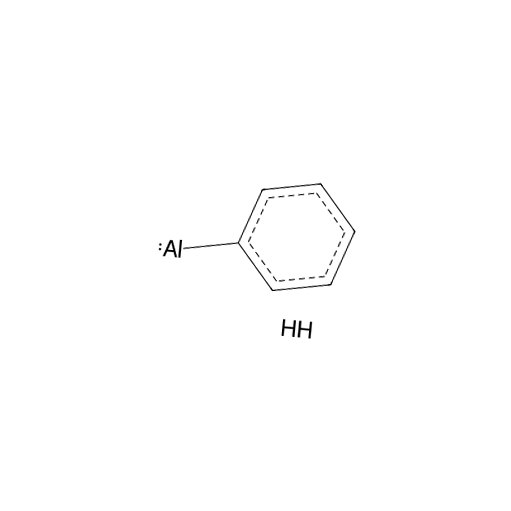 [Al][c]1ccccc1.[HH]